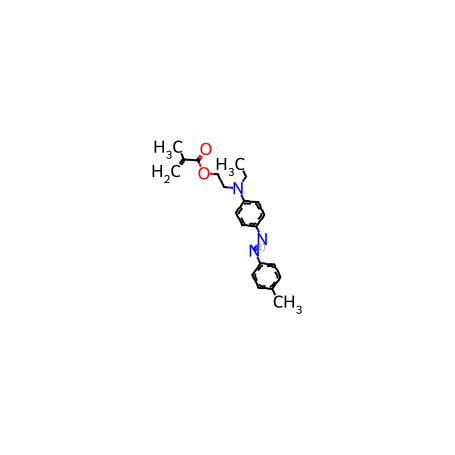 C=C(C)C(=O)OCCN(CC)c1ccc(/N=N/c2ccc(C)cc2)cc1